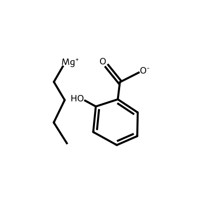 CCC[CH2][Mg+].O=C([O-])c1ccccc1O